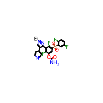 CCn1cc(-c2ccncc2)c(-c2c(F)c(OC(N)=O)cc(S(=O)(=O)c3cc(F)ccc3F)c2F)n1